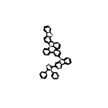 c1ccc(-c2nnc(-c3ccc4c5ccccc5n(-c5cccc(-c6ccccc6-n6c7ccccc7c7c8sc9ccccc9c8ccc76)c5)c4c3)n2-c2ccccc2)cc1